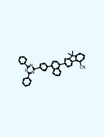 CC1(C)c2cc(-c3ccc(-c4ccc(-c5nc(-c6ccccc6)nc(-c6ccccc6)n5)cc4)c4ccccc34)ccc2-c2c(C#N)cccc21